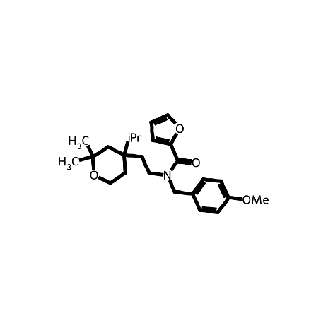 COc1ccc(CN(CCC2(C(C)C)CCOC(C)(C)C2)C(=O)c2ccco2)cc1